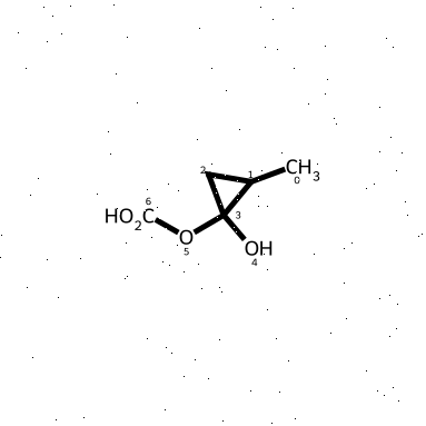 CC1CC1(O)OC(=O)O